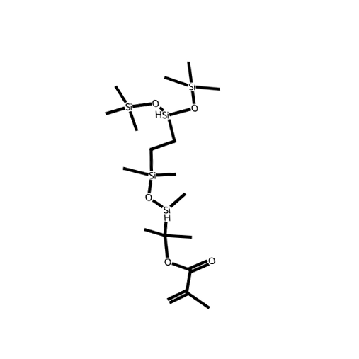 C=C(C)C(=O)OC(C)(C)[SiH](C)O[Si](C)(C)CC[SiH](O[Si](C)(C)C)O[Si](C)(C)C